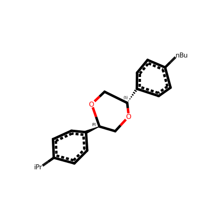 CCCCc1ccc([C@H]2CO[C@H](c3ccc(C(C)C)cc3)CO2)cc1